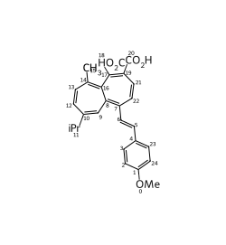 COc1ccc(C=CC2=C3C=C(C(C)C)C=CC(C)=C3C(C(=O)O)=C(C(=O)O)C=C2)cc1